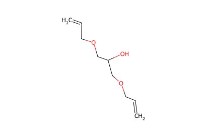 C=CCOCC(O)COCC=C